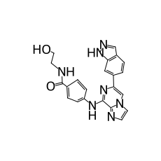 O=C(NCCO)c1ccc(Nc2nc(-c3ccc4cn[nH]c4c3)cn3ccnc23)cc1